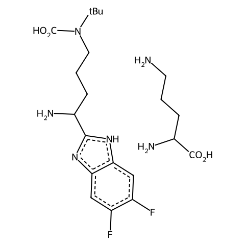 CC(C)(C)N(CCCC(N)c1nc2cc(F)c(F)cc2[nH]1)C(=O)O.NCCCC(N)C(=O)O